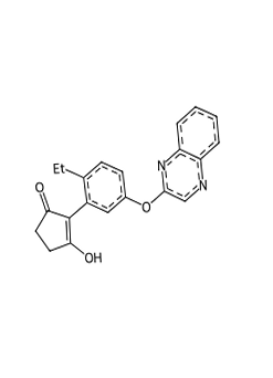 CCc1ccc(Oc2cnc3ccccc3n2)cc1C1=C(O)CCC1=O